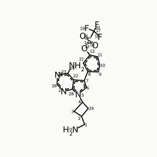 NCC1CC(n2cc(-c3cccc(OS(=O)(=O)C(F)(F)F)c3)c3c(N)ncnc32)C1